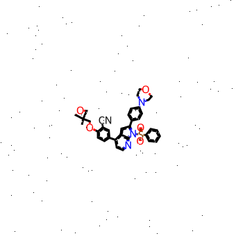 CC1(COc2ccc(-c3ccnc4c3cc(-c3ccc(N5CCOCC5)cc3)n4S(=O)(=O)c3ccccc3)cc2C#N)COC1